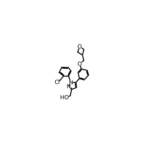 OCc1cc(-c2cccc(OCC3COC3)c2)n(-c2ccccc2Cl)n1